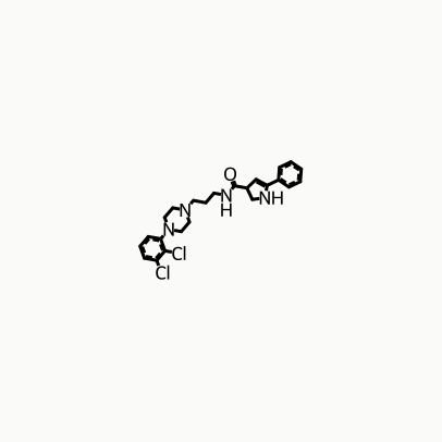 O=C(NCCCN1CCN(c2cccc(Cl)c2Cl)CC1)C1C=C(c2ccccc2)NC1